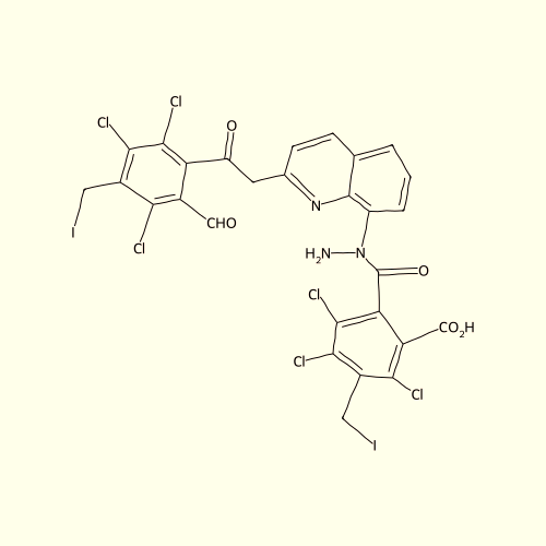 NN(C(=O)c1c(Cl)c(Cl)c(CI)c(Cl)c1C(=O)O)c1cccc2ccc(CC(=O)c3c(Cl)c(Cl)c(CI)c(Cl)c3C=O)nc12